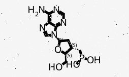 Nc1ncnc2c1ncn2[C@H]1C[C@H](CP(O)O)[C@@H](CO)O1